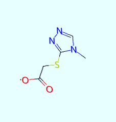 Cn1cnnc1SCC([O])=O